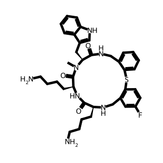 CN1C(=O)[C@H](CCCCN)NC(=O)[C@H](CCCCN)NCc2cc(F)ccc2Sc2ccccc2CNC(=O)[C@@H]1Cc1c[nH]c2ccccc12